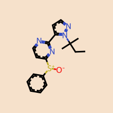 CCC(C)(C)n1nccc1-c1nccc([S+]([O-])c2ccccc2)n1